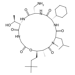 CC(C)CC1C(=O)N[C@@H](C2CCCCC2)C(=O)N[C@@H](CN)C(=O)N[C@@H]([C@H](C)O)C(=O)NCC(=O)O[C@H](CCC(C)(C)C)[C@@H](C)C(=O)N1C